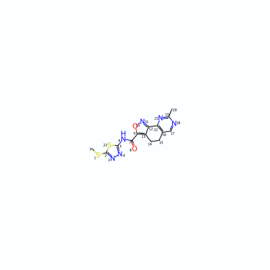 CSc1nnc(NC(=O)c2onc3c2CCc2cnc(C)nc2-3)s1